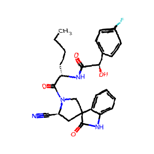 CCCC[C@H](NC(=O)[C@H](O)c1ccc(F)cc1)C(=O)N1CC2(C[C@H]1C#N)C(=O)Nc1ccccc12